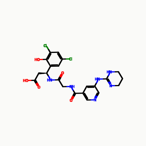 O=C(O)C[C@H](NC(=O)CNC(=O)c1cncc(NC2=NCCCN2)c1)c1cc(Cl)cc(Cl)c1O